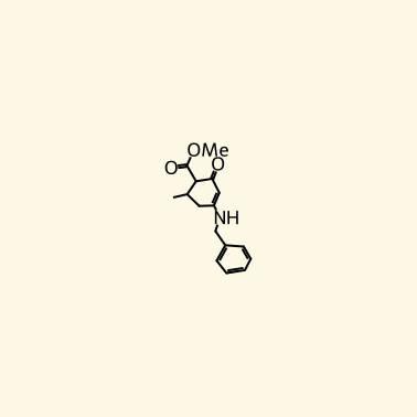 COC(=O)C1C(=O)C=C(NCc2ccccc2)CC1C